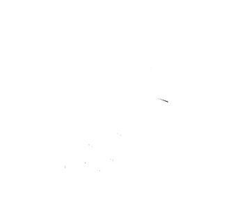 CC(C)n1nnc(N2CCC([C@H](C)Oc3cc[c]cc3S(C)(=O)=O)CC2)n1